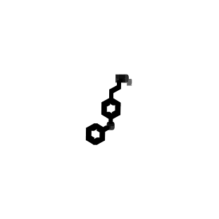 O=[N+]([O-])CCc1ccc(Oc2ccccc2)cc1